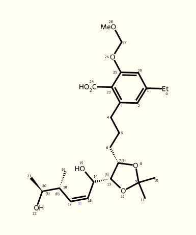 CCc1cc(CCC[C@@H]2OC(C)(C)O[C@@H]2C(O)/C=C\[C@@H](C)[C@H](C)O)c(C(=O)O)c(OCOC)c1